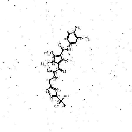 Cc1cc(NC(=O)c2c(C)c(C(=O)C(=O)NCc3nc(C(F)(F)F)no3)n(C)c2C)ccc1F